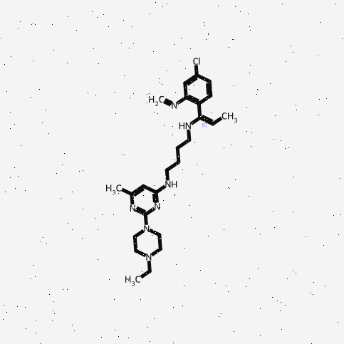 C=Nc1cc(Cl)ccc1/C(=C\C)NCCCCNc1cc(C)nc(N2CCN(CC)CC2)n1